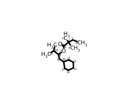 CCC(C)(C)C(=O)OC(CC1CCCCC1)C(C)C